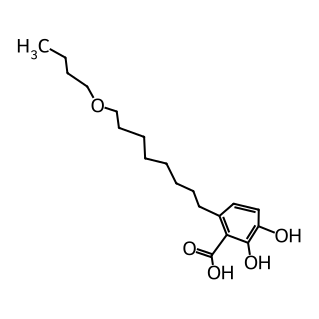 CCCCOCCCCCCCCc1ccc(O)c(O)c1C(=O)O